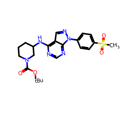 CC(C)(C)OC(=O)N1CCCC(Nc2ncnc3c2cnn3-c2ccc(S(C)(=O)=O)cc2)C1